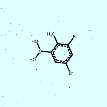 Cc1c(Br)cc(Br)cc1B(O)O